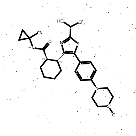 N#CC1(NC(=O)[C@@H]2CCCC[C@H]2c2nc(C(O)C(F)(F)F)sc2-c2ccc(N3CC[S+]([O-])CC3)cc2)CC1